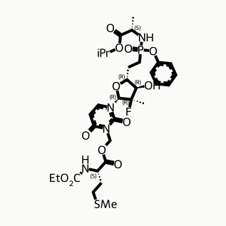 CCOC(=O)N[C@@H](CCSC)C(=O)OCn1c(=O)ccn([C@@H]2O[C@H](CCP(=O)(N[C@@H](C)C(=O)OC(C)C)Oc3ccccc3)[C@@H](O)[C@@]2(C)F)c1=O